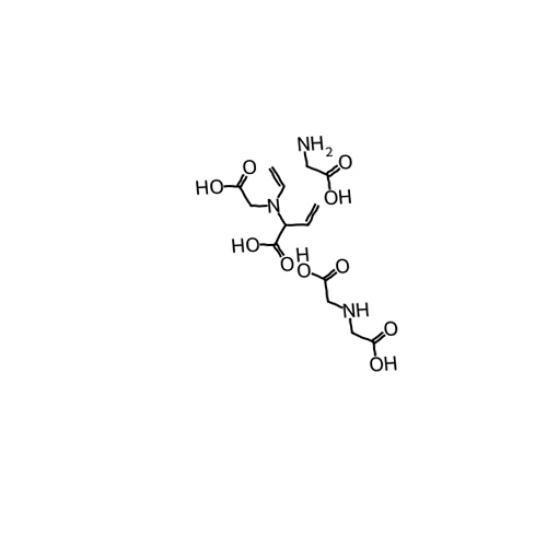 C=CC(C(=O)O)N(C=C)CC(=O)O.NCC(=O)O.O=C(O)CNCC(=O)O